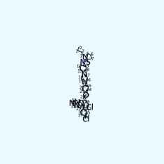 CCCCN1CCCS/C1=N\c1ccc(N2CCN(c3ccc(OCC4COC(Cn5cncn5)(c5ccc(Cl)cc5Cl)O4)cc3)CC2)cc1